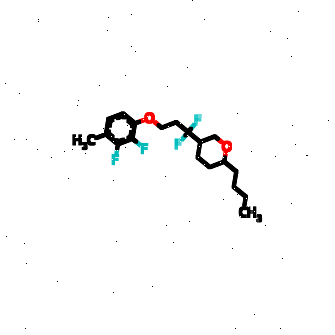 CCCCC1CCC(C(F)(F)CCOc2ccc(C)c(F)c2F)CO1